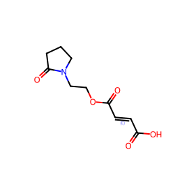 O=C(O)/C=C/C(=O)OCCN1CCCC1=O